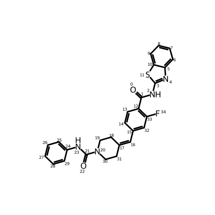 O=C(Nc1nc2ccccc2s1)c1ccc(C=C2CCN(C(=O)Nc3ccccc3)CC2)cc1F